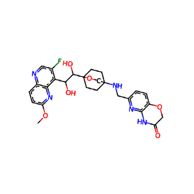 COc1ccc2ncc(F)c(C(O)C(O)C34CCC(NCc5ccc6c(n5)NC(=O)CO6)(CC3)CO4)c2n1